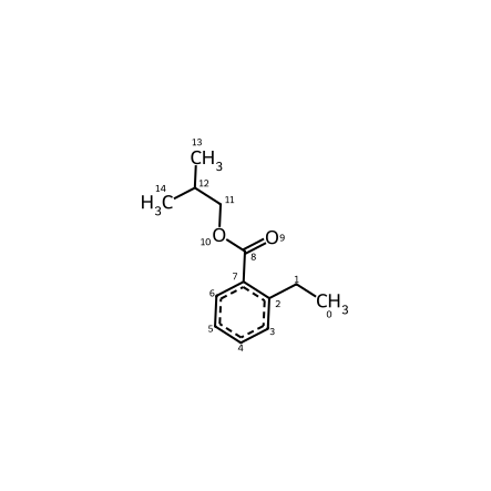 CCc1ccccc1C(=O)OCC(C)C